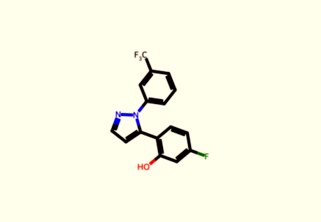 Oc1cc(F)ccc1-c1ccnn1-c1cccc(C(F)(F)F)c1